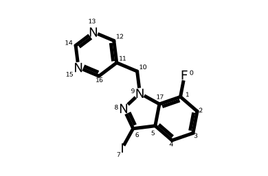 Fc1cccc2c(I)nn(Cc3cncnc3)c12